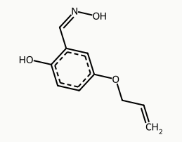 C=CCOc1ccc(O)c(/C=N\O)c1